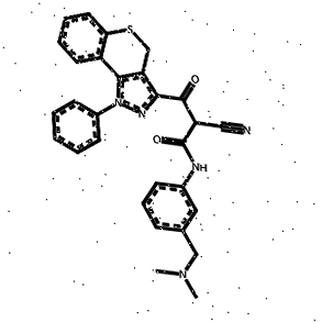 CN(C)Cc1cccc(NC(=O)C(C#N)C(=O)c2nn(-c3ccccc3)c3c2CSc2ccccc2-3)c1